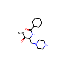 COC(=O)C(CN1CCNCC1)NC(=O)C1CCCCC1